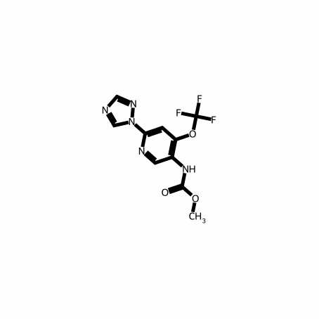 COC(=O)Nc1cnc(-n2cncn2)cc1OC(F)(F)F